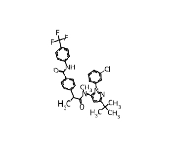 CC(C(=O)N(C)c1cc(C(C)(C)C)nn1-c1cccc(Cl)c1)c1ccc(C(=O)Nc2ccc(C(F)(F)F)cc2)cc1